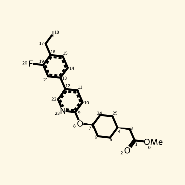 COC(=O)C[C@H]1CC[C@@H](Oc2ccc(-c3ccc(CI)c(F)c3)cn2)CC1